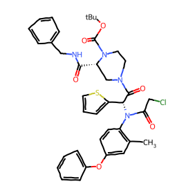 Cc1cc(Oc2ccccc2)ccc1N(C(=O)CCl)[C@@H](C(=O)N1CCN(C(=O)OC(C)(C)C)[C@@H](C(=O)NCc2ccccc2)C1)c1cccs1